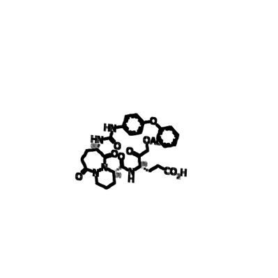 CC(=O)OCC(=O)[C@H](CCC(=O)O)NC(=O)[C@@H]1CCCN2C(=O)CC[C@H](NC(=O)Nc3ccc(Oc4ccccc4)cc3)C(=O)N12